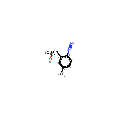 N#[N+]c1ccc(C(F)(F)F)cc1[N+](=O)[O-].O=S(=O)([O-])O